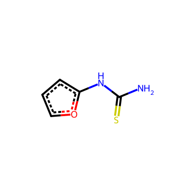 NC(=S)Nc1ccco1